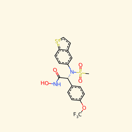 CS(=O)(=O)N(c1ccc2sccc2c1)[C@@H](C(=O)NO)c1ccc(OC(F)(F)F)cc1